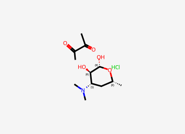 CC(=O)C(C)=O.C[C@@H]1C[C@H](N(C)C)[C@@H](O)[C@H](O)O1.Cl